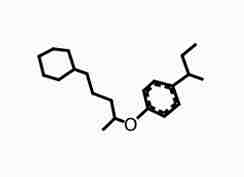 CCC(C)c1ccc(OC(C)CCCC2CCCCC2)cc1